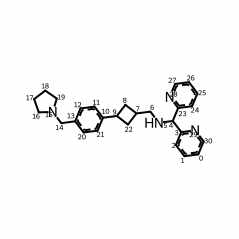 c1ccc(C(NCC2CC(c3ccc(CN4CCCC4)cc3)C2)c2ccccn2)nc1